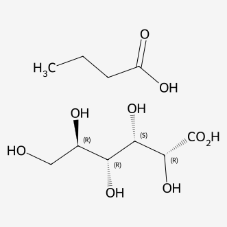 CCCC(=O)O.O=C(O)[C@H](O)[C@@H](O)[C@H](O)[C@H](O)CO